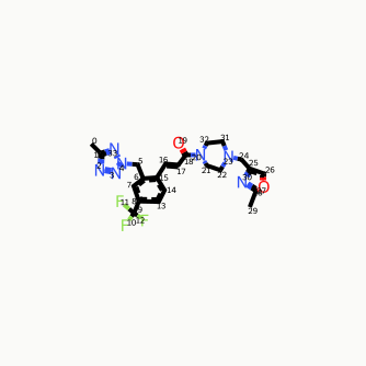 Cc1nnn(Cc2cc(C(F)(F)F)ccc2C=CC(=O)N2CCN(Cc3coc(C)n3)CC2)n1